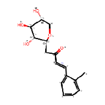 Cc1ccccc1/C=C/C(=O)C[C@@H]1OC[C@@H](O)[C@H](O)[C@H]1O